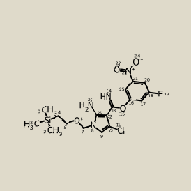 C[Si](C)(C)CCOCn1cc(Cl)c(C(=N)Oc2cc(F)cc([N+](=O)[O-])c2)c1N